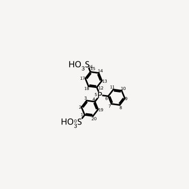 O=S(=O)(O)c1ccc(P(c2ccccc2)c2ccc(S(=O)(=O)O)cc2)cc1